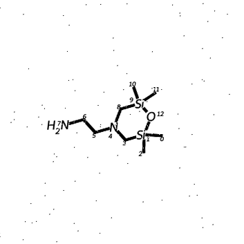 C[Si]1(C)CN(CCN)C[Si](C)(C)O1